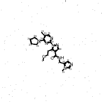 COCCc1c(C(=O)NCc2cncn2C)cnn1-c1ncc(C)c(N2CCCC2)n1